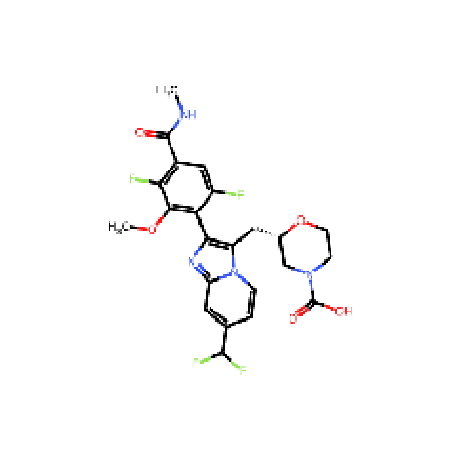 CNC(=O)c1cc(F)c(-c2nc3cc(C(F)F)ccn3c2C[C@H]2CN(C(=O)O)CCO2)c(OC)c1F